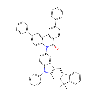 CC1(C)c2ccccc2-c2cc3c4cc(-n5c(=O)c6ccc(-c7ccccc7)cc6c6cc(-c7ccccc7)ccc65)ccc4n(-c4ccccc4)c3cc21